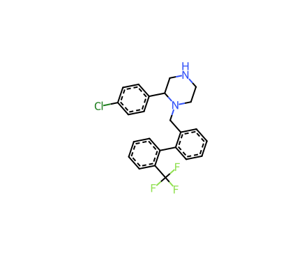 FC(F)(F)c1ccccc1-c1ccccc1CN1CCNCC1c1ccc(Cl)cc1